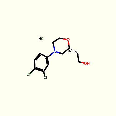 Cl.OCC[C@@H]1CN(c2ccc(Cl)c(Cl)c2)CCO1